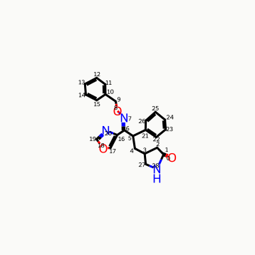 O=C1CC(CC(C(=NOCc2ccccc2)c2cocn2)c2ccccc2)CN1